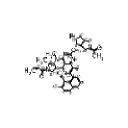 C#Cc1c(F)ccc2cccc(-c3ncc4c(N(C)[C@@H]5CCN(C(=O)C=C)[C@@H]5C)nc(OC[C@]56C[C@H](F)CC5CN(C(C)=O)C6)nc4c3F)c12